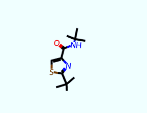 CC(C)(C)NC(=O)c1csc(C(C)(C)C)n1